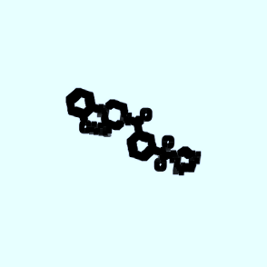 COc1ccccc1N1CCN(C(=O)c2cccc(S(=O)(=O)n3cncn3)c2)CC1